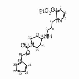 CCOC(=O)c1cccnc1CCCNC1CCN(C(=O)OCc2ccccc2)CC1